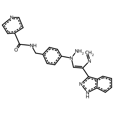 C=N/C(=C\N(N)c1ccc(CNC(=O)c2ccncc2)cc1)c1n[nH]c2ccccc12